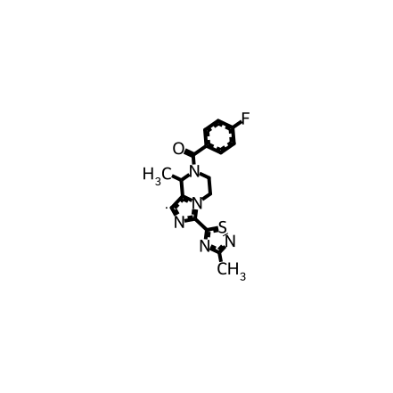 Cc1nsc(-c2n[c]c3n2CCN(C(=O)c2ccc(F)cc2)C3C)n1